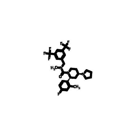 Cc1cc(F)ccc1[C@H]1C[C@H](N2CCCC2)CCN1C(=O)N(C)Cc1cc(C(F)(F)F)cc(C(F)(F)F)c1